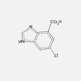 O=C(O)c1cc(Cl)cc2[nH]cnc12